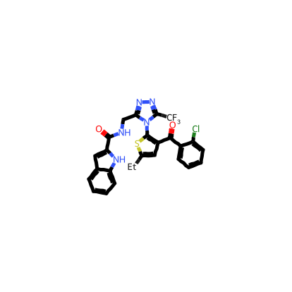 CCc1cc(C(=O)c2ccccc2Cl)c(-n2c(CNC(=O)c3cc4ccccc4[nH]3)nnc2C(F)(F)F)s1